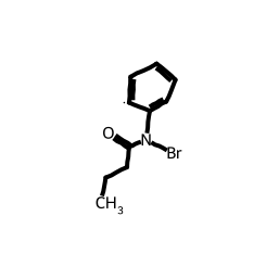 CCCC(=O)N(Br)c1[c]cccc1